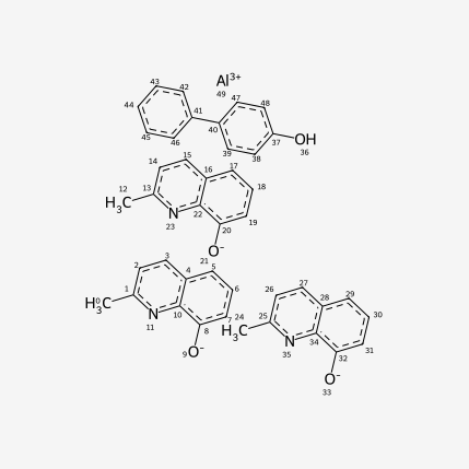 Cc1ccc2cccc([O-])c2n1.Cc1ccc2cccc([O-])c2n1.Cc1ccc2cccc([O-])c2n1.Oc1ccc(-c2ccccc2)cc1.[Al+3]